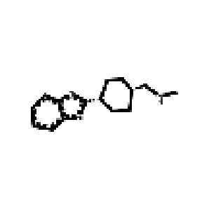 CNC[C@H]1CC[C@H](c2nc3ccccc3[nH]2)CC1